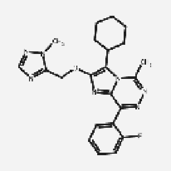 Cc1nnc(-c2ccccc2F)c2nc(OCc3ncnn3C)c(C3CCCCC3)n12